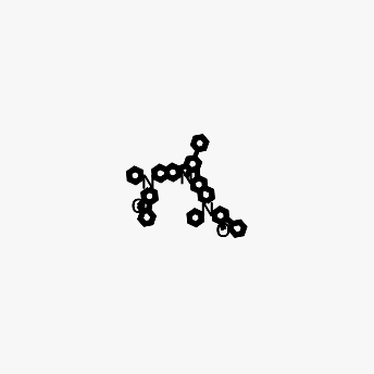 c1ccc(-c2cc3c4cc5ccc(N(c6ccccc6)c6ccc7c(c6)oc6ccccc67)cc5cc4n4c5cc6cc(N(c7ccccc7)c7ccc8c(c7)oc7ccccc78)ccc6cc5c(c2)c34)cc1